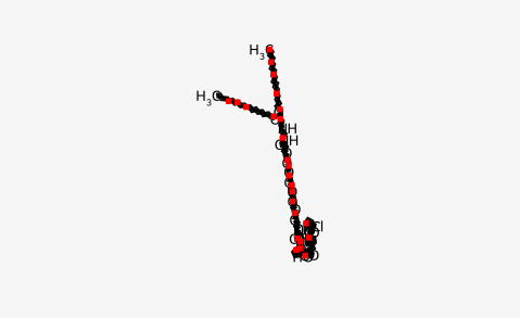 CCCCCCCCCCCCCCCCCCCCOCC(CCNCCCNC(=O)CCOCCOCCOCCOCCOCCOCCOCCOCCOCCC(=O)NCCC1(C(=O)NC(Cc2ccc(NC(=O)c3c(Cl)cccc3Cl)cc2)C(=O)O)CCCC1)OCCCCCCCCCCCCCCCCCCCC